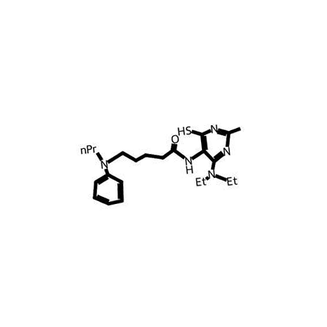 CCCN(CCCCC(=O)Nc1c(S)nc(C)nc1N(CC)CC)c1ccccc1